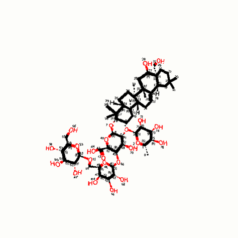 C[C@@H]1O[C@@H](O[C@H]2[C@H](O[C@H]3CC[C@]4(C)[C@H]5CC=C6[C@@H]7CC(C)(C)CC[C@]7(CO)[C@H](O)C[C@@]6(C)[C@]5(C)CC[C@H]4C3(C)C)O[C@H](C(=O)O)[C@H](O[C@@H]3O[C@H](CO[C@@H]4O[C@H](CO)[C@@H](O)[C@H](O)[C@H]4O)[C@H](O)[C@H](O)[C@H]3O)[C@@H]2O)[C@H](O)[C@H](O)[C@H]1O